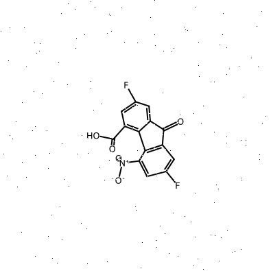 O=C(O)c1cc(F)cc2c1-c1c(cc(F)cc1[N+](=O)[O-])C2=O